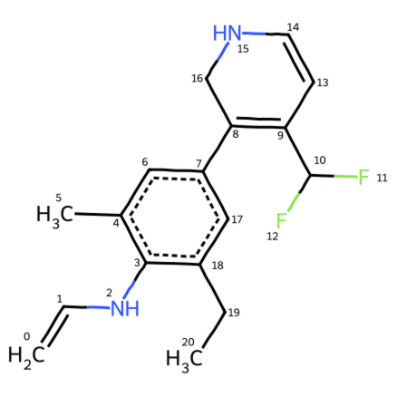 C=CNc1c(C)cc(C2=C(C(F)F)C=CNC2)cc1CC